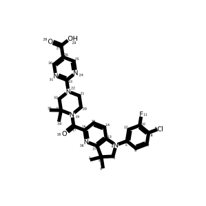 CC1(C)CN(c2ccc(Cl)c(F)c2)c2ccc(C(=O)N3CCN(c4ncc(C(=O)O)cn4)CC3(C)C)nc21